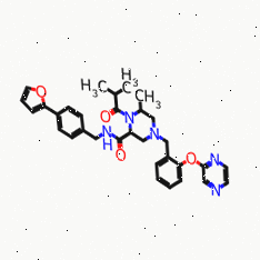 CC(C)C(=O)N1C(C)CN(Cc2ccccc2Oc2cnccn2)CC1C(=O)NCc1ccc(-c2ccco2)cc1